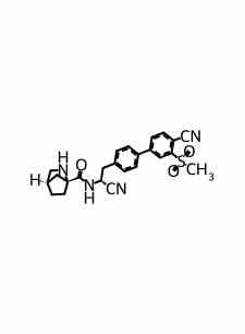 CS(=O)(=O)c1cc(-c2ccc(C[C@@H](C#N)NC(=O)[C@]34CC[C@@H](CN3)C4)cc2)ccc1C#N